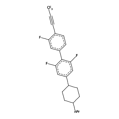 CCCC1CCC(c2cc(F)c(-c3ccc(C#CC(F)(F)F)c(F)c3)c(F)c2)CC1